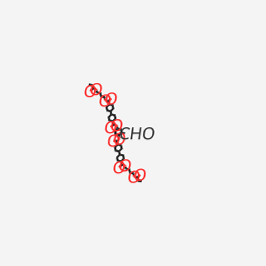 C=CC(=O)OCCCCOC(=O)C1CCC(C2CCC(C(=O)Oc3ccc(OC(=O)C4CCC(C5CCC(C(=O)OCCCCOC(=O)C=C)CC5)CC4)c(C=O)c3)CC2)CC1